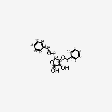 O[C@@H]1[C@H](OCc2ccccc2)[C@@H](COCc2ccccc2)O[C@@H]1O